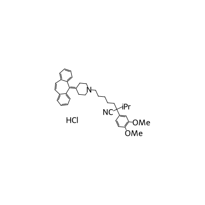 COc1ccc(C(C#N)(CCCCCN2CCC(=C3c4ccccc4C=Cc4ccccc43)CC2)C(C)C)cc1OC.Cl